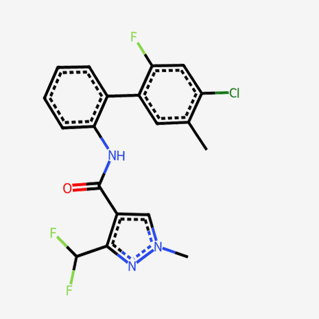 Cc1cc(-c2ccccc2NC(=O)c2cn(C)nc2C(F)F)c(F)cc1Cl